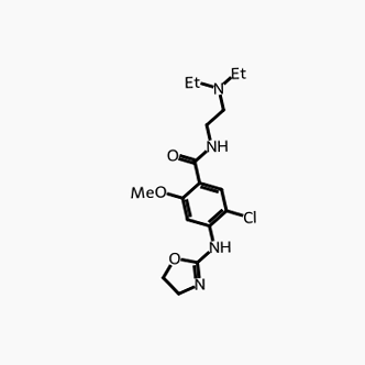 CCN(CC)CCNC(=O)c1cc(Cl)c(NC2=NCCO2)cc1OC